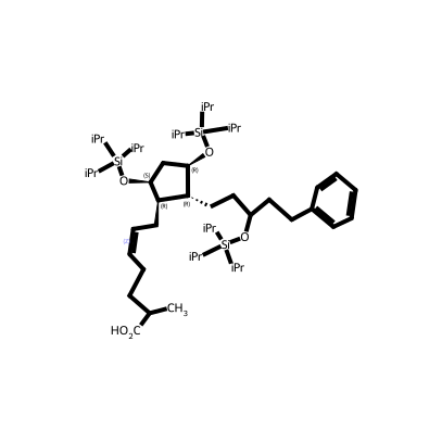 CC(CC/C=C\C[C@@H]1[C@@H](CCC(CCc2ccccc2)O[Si](C(C)C)(C(C)C)C(C)C)[C@H](O[Si](C(C)C)(C(C)C)C(C)C)C[C@@H]1O[Si](C(C)C)(C(C)C)C(C)C)C(=O)O